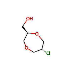 OC[C@@H]1COC[C@@H](Cl)CO1